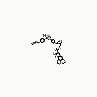 CCC(CC(C)c1ccc(CN=[N+]=[N-])cc1)c1ccc(Cn2nncc2CCOC(=O)c2cc3cc4c5c(c3oc2=O)CCCN5CCC4)cc1